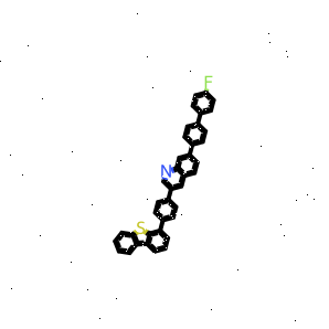 Fc1ccc(-c2ccc(-c3ccc4cc(-c5ccc(-c6cccc7c6sc6ccccc67)cc5)cnc4c3)cc2)cc1